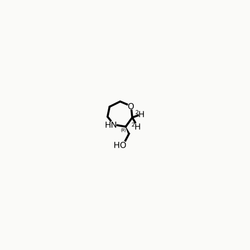 [2H]C1([2H])OCCCN[C@@H]1CO